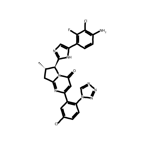 C[C@H]1Cc2nc(-c3cc(Cl)ccc3-n3cnnn3)cc(=O)n2[C@@H]1c1ncc(-c2ccc(N)c(Cl)c2F)[nH]1